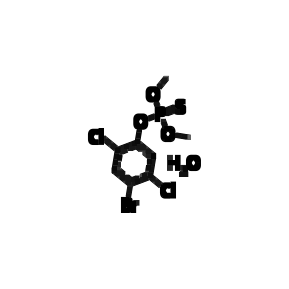 COP(=S)(OC)Oc1cc(Cl)c(Br)cc1Cl.O